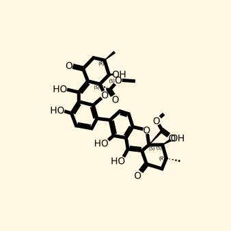 COC(=O)[C@]12Oc3ccc(-c4ccc(O)c5c4O[C@@]4(C(=O)OC)C(=C5O)C(=O)C[C@@H](C)[C@@H]4O)c(O)c3C(O)=C1C(=O)C[C@@H](C)[C@@H]2O